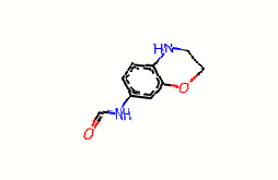 O=CNc1ccc2c(c1)OCCN2